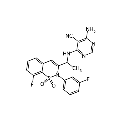 CC(Nc1ncnc(N)c1C#N)C1=Cc2cccc(F)c2S(=O)(=O)N1c1cccc(F)c1